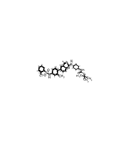 Cc1cc(NS(=O)(=O)c2ccccc2Cl)ccc1-c1ccc2nc(N[C@H]3CC[C@H](NC(=O)OC(C)(C)C)CC3)ncc2c1